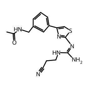 CC(=O)NCc1cccc(-c2csc(N=C(N)NCCC#N)n2)c1